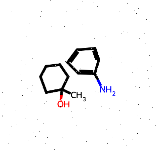 CC1(O)CCCCC1.Nc1ccccc1